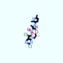 Cc1ccc(-n2nc(OC[C@H](C)Cn3cc(Cl)c4cnc(Cl)nc43)c([N+](=O)[O-])c2C)c(C)n1